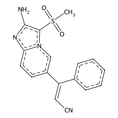 CS(=O)(=O)c1c(N)nc2ccc(C(=CC#N)c3ccccc3)cn12